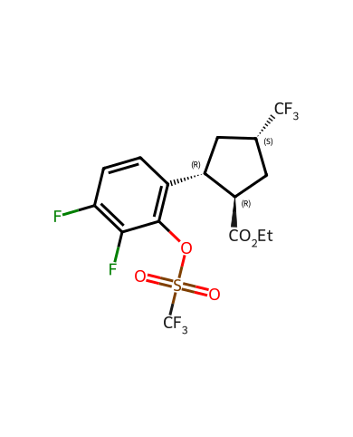 CCOC(=O)[C@@H]1C[C@@H](C(F)(F)F)C[C@H]1c1ccc(F)c(F)c1OS(=O)(=O)C(F)(F)F